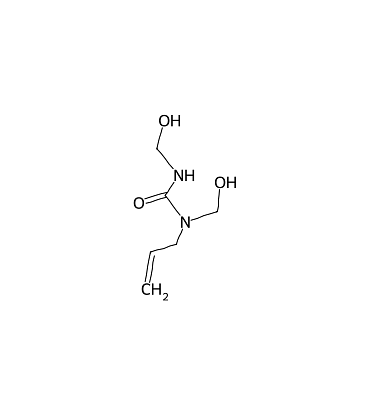 C=CCN(CO)C(=O)NCO